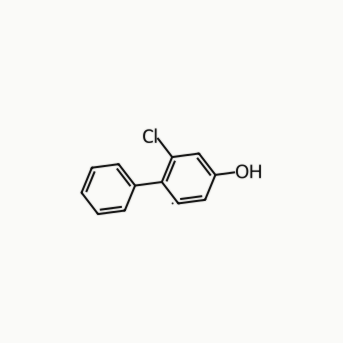 Oc1c[c]c(-c2ccccc2)c(Cl)c1